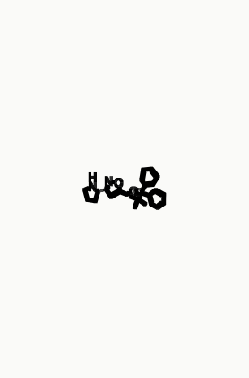 CC(C)(C)[Si](OCc1cc([C@@H]2CCCN2)no1)(c1ccccc1)c1ccccc1